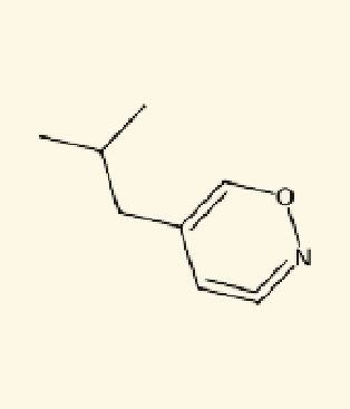 CC(C)CC1=CON=C=C1